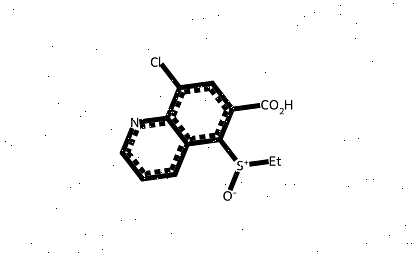 CC[S+]([O-])c1c(C(=O)O)cc(Cl)c2ncccc12